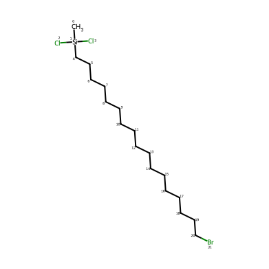 C[Si](Cl)(Cl)CCCCCCCCCCCCCCCCCBr